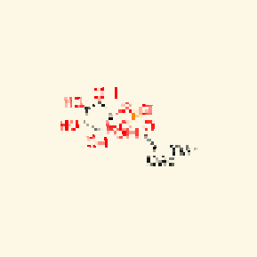 CC(=O)OCC(COP(=O)(O)OC1C(O)C(O)C(O)C(O)C1O)OC(C)=O